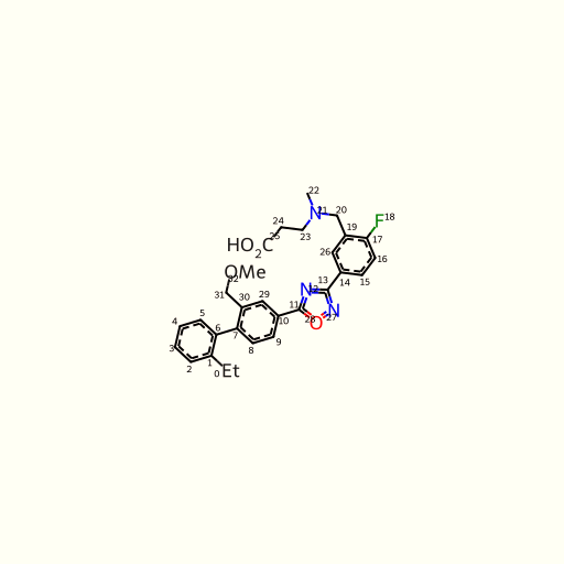 CCc1ccccc1-c1ccc(-c2nc(-c3ccc(F)c(CN(C)CCC(=O)O)c3)no2)cc1COC